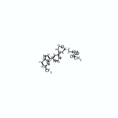 CS(=O)(=O)NCC[C@@H]1CN(c2cc(-c3cnc4ccc(C(F)(F)F)nn34)ncn2)CCO1